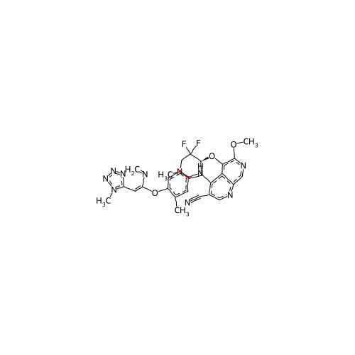 C=N/C(=C\c1nnnn1C)Oc1ccc(Nc2c(C#N)cnc3cnc(OC)c(O[C@H]4CCN(C)CC4(F)F)c23)cc1C